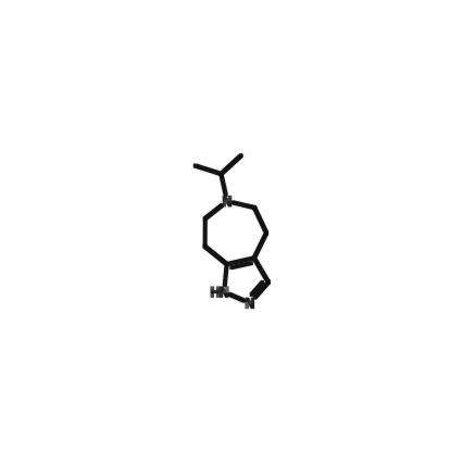 CC(C)N1CCc2cn[nH]c2CC1